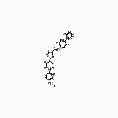 Cc1ccc(N2CCC(n3ncc(COc4ccc(-n5cnnn5)nc4)n3)CC2)nc1